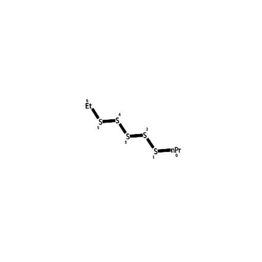 CCCSSSSSCC